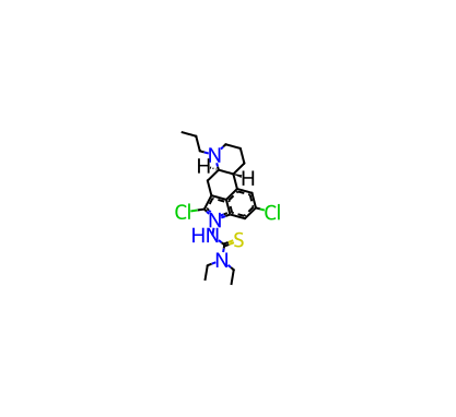 CCCN1CCC[C@@H]2c3cc(Cl)cc4c3c(c(Cl)n4NC(=S)N(CC)CC)C[C@H]21